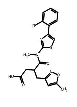 Cc1cc(CC(CC(=O)O)C(=O)N(C)c2nc(-c3ccccc3Cl)cs2)no1